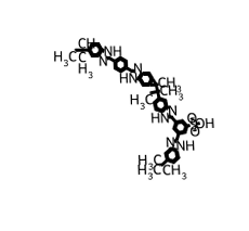 CCC(C)(C)c1ccc2[nH]c(-c3ccc(-c4nc5cc6c(cc5[nH]4)C6(C)C(C)(CC)c4ccc5[nH]c(-c6cc(-c7nc8cc(C(C)(C)C)ccc8[nH]7)cc(S(=O)(=O)O)c6)nc5c4)cc3)nc2c1